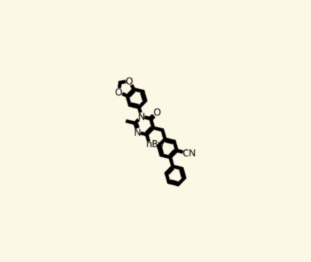 CCCCc1nc(C)n(-c2ccc3c(c2)OCO3)c(=O)c1Cc1ccc(-c2ccccc2)c(C#N)c1